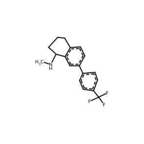 CNC1CCCc2ccc(-c3ccc(C(F)(F)F)cc3)cc21